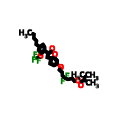 CCCCCc1ccc(-c2cc3ccc(OCCCC(F)(F)CCCOC(=O)C(C)C(C)C)cc3oc2=O)c(OC(F)(F)F)c1